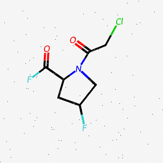 O=C(F)C1CC(F)CN1C(=O)CCl